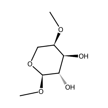 CO[C@H]1OC[C@@H](OC)[C@@H](O)[C@@H]1O